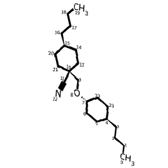 CCCC[C@H]1CC[C@H](OC[C@]2(C#N)CC[C@H](CCCC)CC2)CC1